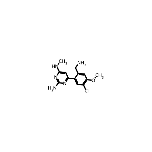 CNc1cc(-c2cc(Cl)c(OC)cc2CN)nc(N)n1